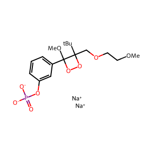 COCCOCC1(C(C)(C)C)OOC1(OC)c1cccc(OP(=O)([O-])[O-])c1.[Na+].[Na+]